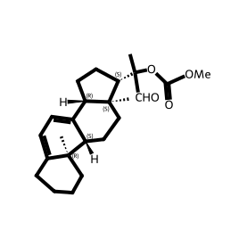 COC(=O)OC(C)(C=O)[C@H]1CC[C@H]2C3=CC=C4CCCC[C@]4(C)[C@H]3CC[C@]12C